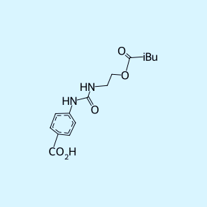 CCC(C)C(=O)OCCNC(=O)Nc1ccc(C(=O)O)cc1